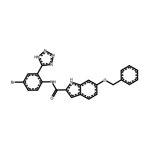 O=C(Nc1ccc(Br)cc1-c1nnn[nH]1)c1cc2ccc(OCc3ccccc3)cc2[nH]1